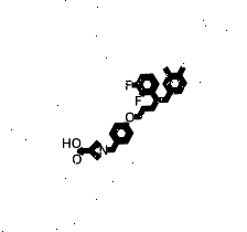 Cc1ccc(CC(CCCOc2ccc(CN3CC(C(=O)O)C3)cc2)c2cccc(F)c2F)cc1C